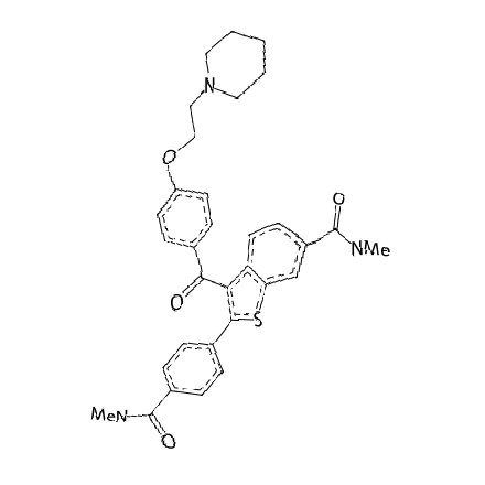 CNC(=O)c1ccc(-c2sc3cc(C(=O)NC)ccc3c2C(=O)c2ccc(OCCN3CCCCC3)cc2)cc1